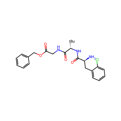 CC(C)(C)[C@H](NC(=O)[C@@H](N)Cc1ccccc1Cl)C(=O)NCC(=O)OCc1ccccc1